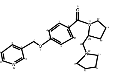 O=C(c1ccc(OCc2cccnc2)cc1)N1CCCC1CN1CCCC1